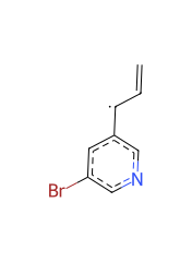 C=C[CH]c1cncc(Br)c1